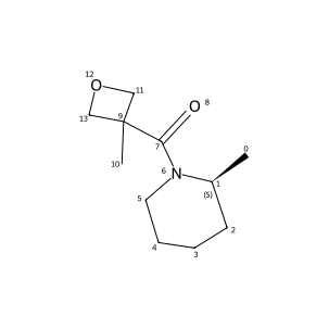 C[C@H]1CCCCN1C(=O)C1(C)COC1